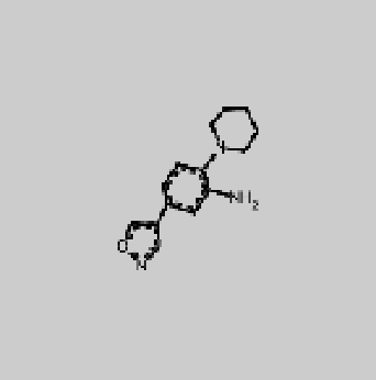 Nc1cc(-c2cnoc2)ccc1N1CCCCC1